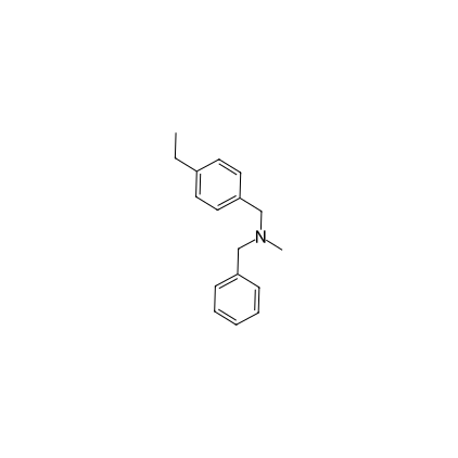 CCc1ccc(CN(C)Cc2ccccc2)cc1